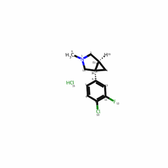 CN1C[C@H]2C[C@@]2(c2ccc(Cl)c(F)c2)C1.Cl